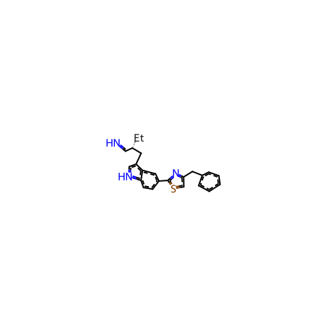 CC[C@@H](C=N)Cc1c[nH]c2ccc(-c3nc(Cc4ccccc4)cs3)cc12